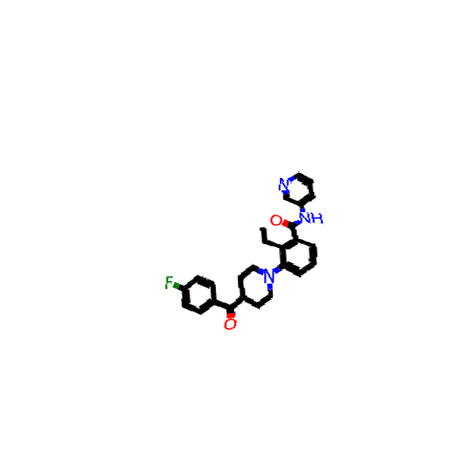 CCc1c(C(=O)Nc2cccnc2)cccc1N1CCC(C(=O)c2ccc(F)cc2)CC1